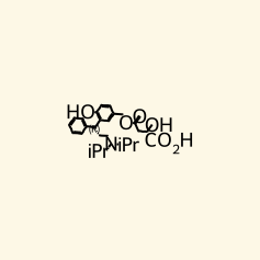 CC(C)N(CC[C@H](c1ccccc1)c1cc(COC(=O)CC(O)C(=O)O)ccc1O)C(C)C